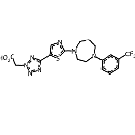 O=C(O)Cn1nnc(-c2cnc(N3CCCN(c4cccc(C(F)(F)F)c4)CC3)s2)n1